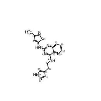 Cc1cc(Nc2nc(NCCc3cn[nH]c3)c3ncccc3n2)sn1